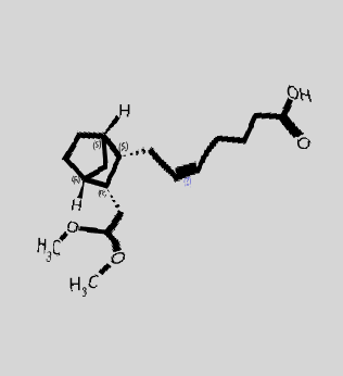 COC(C[C@@H]1[C@@H]2CC[C@@H](C2)[C@@H]1C/C=C\CCCC(=O)O)OC